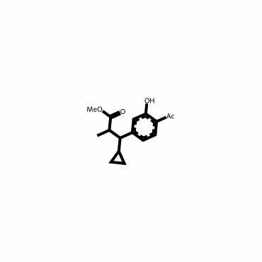 COC(=O)C(C)C(c1ccc(C(C)=O)c(O)c1)C1CC1